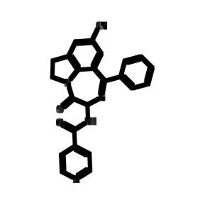 N#Cc1cc2c3c(c1)C(c1ccccc1)=NC(NC(=O)c1ccncc1)C(=O)N3CC2